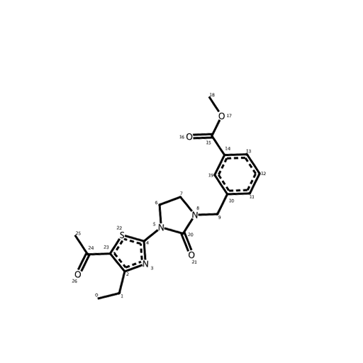 CCc1nc(N2CCN(Cc3cccc(C(=O)OC)c3)C2=O)sc1C(C)=O